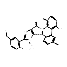 COc1ccc(CN)cc1-c1nc2c(n1C(C)C)C1c3ccc(Cl)cc3-c3c(Cl)ccc(C)c3N1C2=O